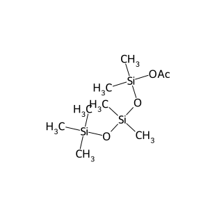 CC(=O)O[Si](C)(C)O[Si](C)(C)O[Si](C)(C)C